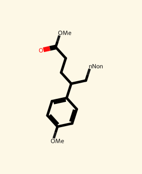 CCCCCCCCCCC(CCC(=O)OC)c1ccc(OC)cc1